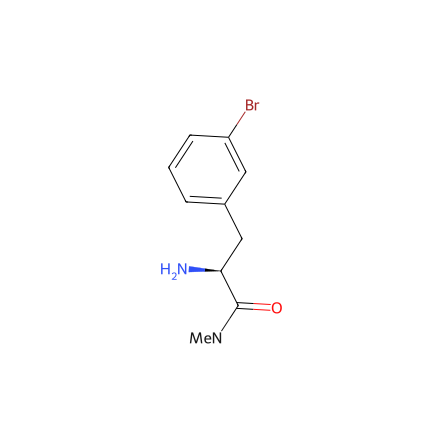 CNC(=O)[C@@H](N)Cc1cccc(Br)c1